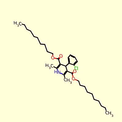 CCCCCCCCCCOC(=O)C1=C(C)NC(C)=C(C(=O)OCCCCCCCCCC)C1c1ccccc1Cl